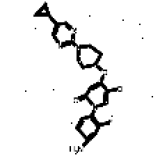 Nc1ccc(-n2cc(Cl)c(OC3CCN(c4ncc(C5CC5)cn4)CC3)cc2=O)c(F)c1